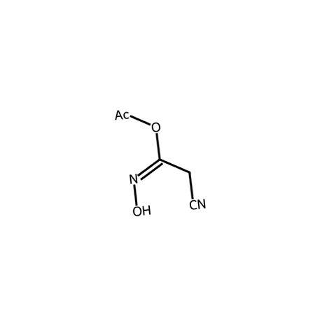 CC(=O)OC(CC#N)=NO